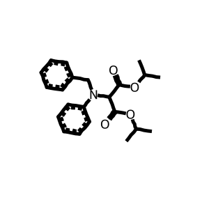 CC(C)OC(=O)C(C(=O)OC(C)C)N(Cc1ccccc1)c1ccccc1